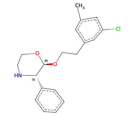 Cc1cc(Cl)cc(CCO[C@@H]2OCCN[C@H]2c2ccccc2)c1